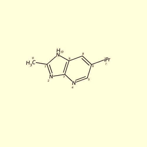 Cc1nc2ncc(C(C)C)cc2[nH]1